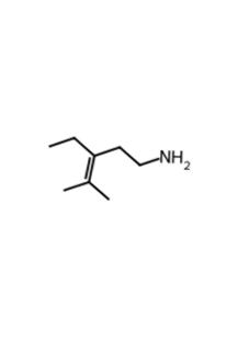 CCC(CCN)=C(C)C